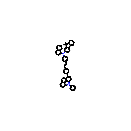 CC1(C)c2ccccc2-c2ccc(N(c3ccc(/C=C/c4ccc(-c5ccc6c7c5ccc5cccc(c57)n6-c5ccccc5)cc4)cc3)c3cccc4ccccc34)cc21